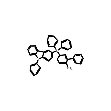 CC1=CCC(S(c2ccccc2)(c2ccccc2)c2ccc3c(c2)c2ccccc2n3-c2ccccc2)C=C1c1ccccc1